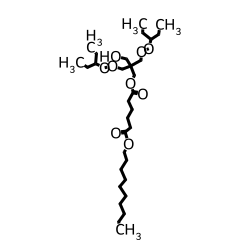 CCCCCCCCCCOC(=O)CCCCC(=O)OCC(CO)(COOC(CC)CC)COOC(CC)CC